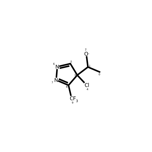 CC([O])C1(Cl)C=NN=C1C(F)(F)F